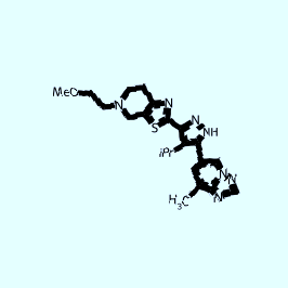 COCCN1CCc2nc(-c3n[nH]c(-c4cc(C)c5ncnn5c4)c3C(C)C)sc2C1